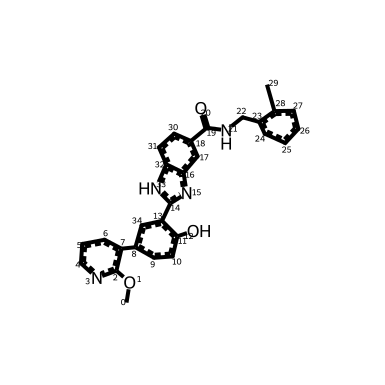 COc1ncccc1-c1ccc(O)c(-c2nc3cc(C(=O)NCc4ccccc4C)ccc3[nH]2)c1